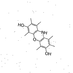 Cc1c(C)c2c(c(C)c1O)Oc1c(C)c(O)c(C)c(C)c1N2